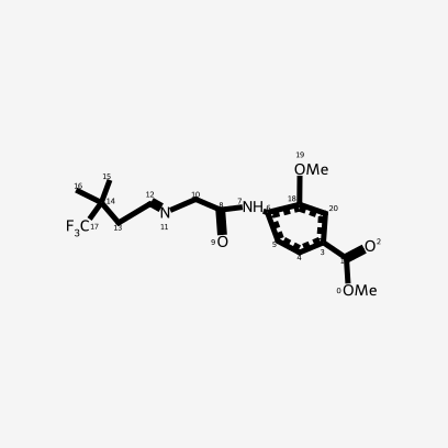 COC(=O)c1ccc(NC(=O)C/N=C/CC(C)(C)C(F)(F)F)c(OC)c1